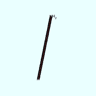 CN=NN=NN=NN=NN=NN=NN=NN=NN=NN=NN=NN=NN=NN=NN=NN=NN=NN=NN=NN=NN=NN=NN=NN=NN=NN=NN=NN=NN=NN=NN=NN=NN=NN=NN=NN=NN=NN=NN=NN=NN=NN=NN=NN=NN=NN=NN=NN=NN=NN=NN=NN=NN=NN=NN=NN=NN=NN=NN=NN=NN=NN=NN=NN=NN=NN=NN